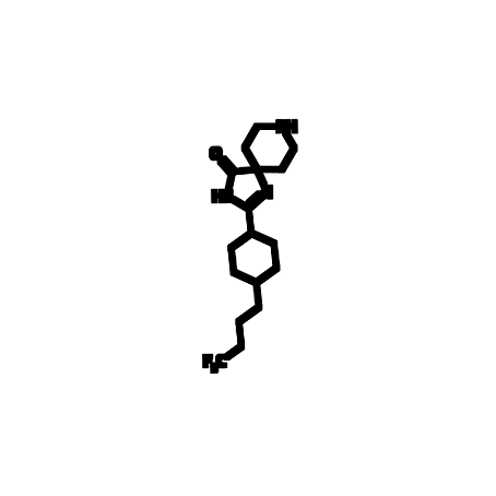 O=C1NC(C2CCC(CCCC(F)(F)F)CC2)=NC12CCNCC2